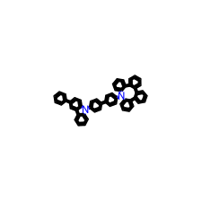 c1ccc(-c2ccc3c(c2)c2ccccc2n3-c2ccc(-c3ccc(-n4c5ccccc5c5ccccc5c5ccccc5c5ccccc54)cc3)cc2)cc1